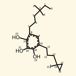 CCC(C)(C)CCCc1cc(CCCC2(I)CC2)c(O)c(O)c1O